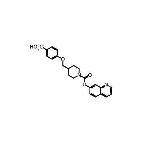 O=C(O)c1ccc(OCC2CCN(C(=O)Oc3ccc4cccnc4c3)CC2)cc1